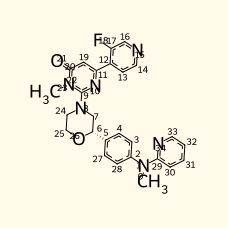 CN(c1ccc([C@H]2CN(c3nc(-c4ccncc4F)cc(=O)n3C)CCO2)cc1)c1ccccn1